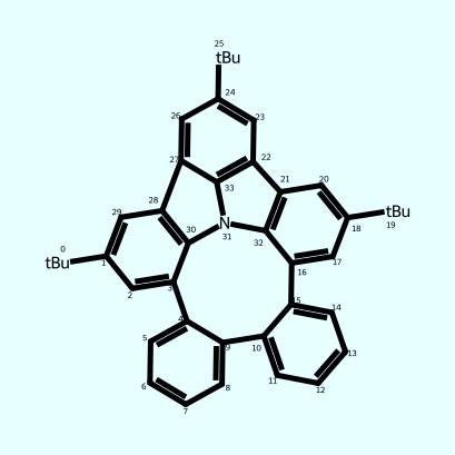 CC(C)(C)c1cc2c3ccccc3c3ccccc3c3cc(C(C)(C)C)cc4c5cc(C(C)(C)C)cc6c(c1)c2n(c34)c65